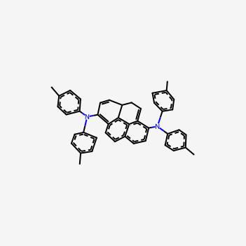 Cc1ccc(N(C2=c3ccc4ccc(N(c5ccc(C)cc5)c5ccc(C)cc5)c5c4c3C(C=C2)CC=5)c2ccc(C)cc2)cc1